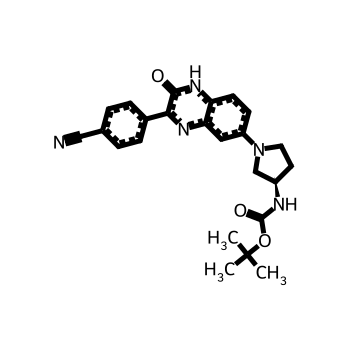 CC(C)(C)OC(=O)N[C@@H]1CCN(c2ccc3[nH]c(=O)c(-c4ccc(C#N)cc4)nc3c2)C1